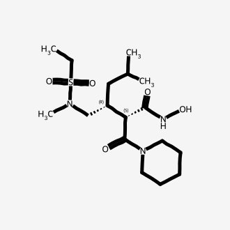 CCS(=O)(=O)N(C)C[C@H](CC(C)C)[C@H](C(=O)NO)C(=O)N1CCCCC1